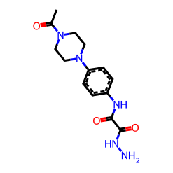 CC(=O)N1CCN(c2ccc(NC(=O)C(=O)NN)cc2)CC1